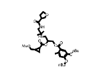 CCCCOc1cc(C)c(C(=O)OCC(CNC(C)(C)CNC(=O)C2CCOC2)OC(=O)C2CC2COC)cc1OCCCC